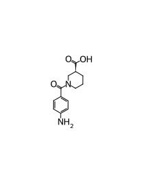 Nc1ccc(C(=O)N2CCC[C@H](C(=O)O)C2)cc1